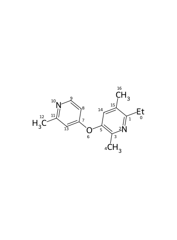 CCc1nc(C)c(Oc2ccnc(C)c2)cc1C